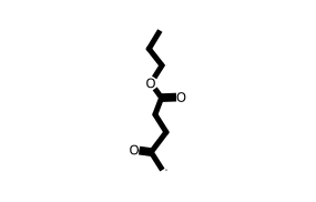 [CH2]C(=O)CCC(=O)OCCC